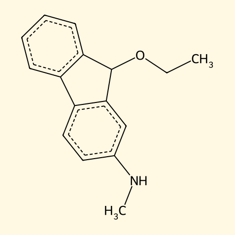 CCOC1c2ccccc2-c2ccc(NC)cc21